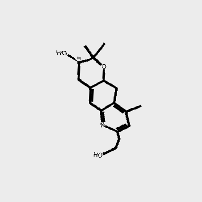 Cc1cc(CO)nc2c1CC1OC(C)(C)[C@H](O)CC1=C2